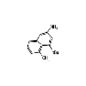 Cc1cccc2cc(N)nc(C(C)(C)C)c12